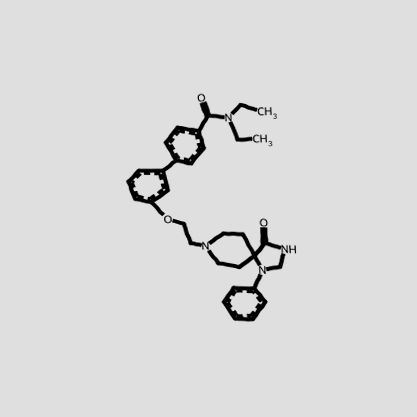 CCN(CC)C(=O)c1ccc(-c2cccc(OCCN3CCC4(CC3)C(=O)NCN4c3ccccc3)c2)cc1